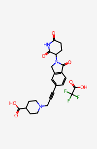 O=C(O)C(F)(F)F.O=C1CCC(N2Cc3cc(C#CCN4CCC(C(=O)O)CC4)ccc3C2=O)C(=O)N1